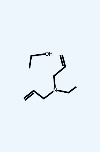 C=CCN(CC)CC=C.CCO